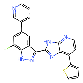 Fc1cc(-c2cccnc2)cc2c(-c3nc4c(-c5cccs5)ccnc4[nH]3)n[nH]c12